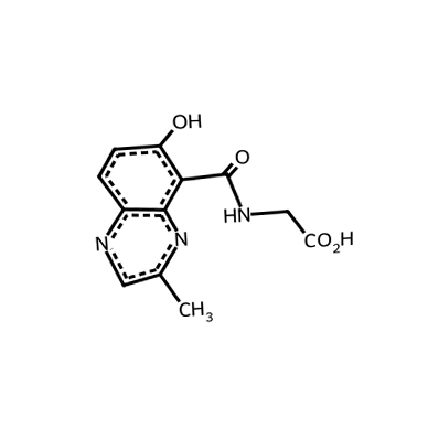 Cc1cnc2ccc(O)c(C(=O)NCC(=O)O)c2n1